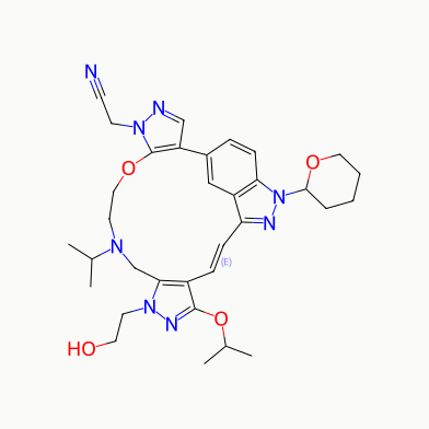 CC(C)Oc1nn(CCO)c2c1/C=C/c1nn(C3CCCCO3)c3ccc(cc13)-c1cnn(CC#N)c1OCCN(C(C)C)C2